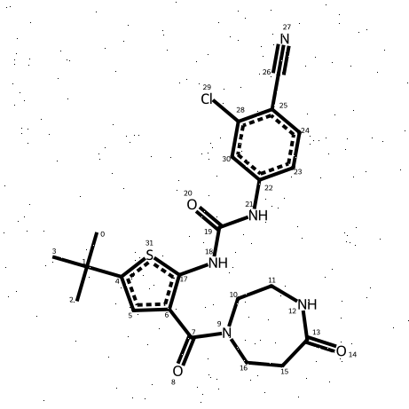 CC(C)(C)c1cc(C(=O)N2CCNC(=O)CC2)c(NC(=O)Nc2ccc(C#N)c(Cl)c2)s1